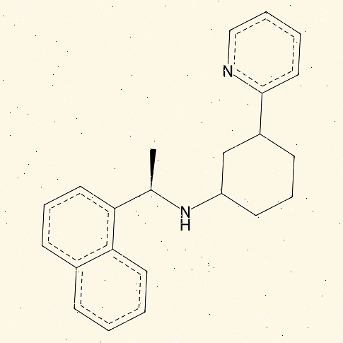 C[C@@H](NC1CCCC(c2ccccn2)C1)c1cccc2ccccc12